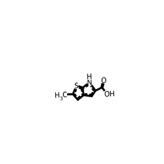 Cc1cc2cc(C(=O)O)[nH]c2s1